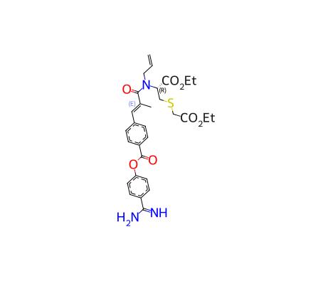 C=CCN(C(=O)/C(C)=C/c1ccc(C(=O)Oc2ccc(C(=N)N)cc2)cc1)[C@@H](CSCC(=O)OCC)C(=O)OCC